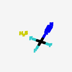 N#[N+]C(F)(F)F.S